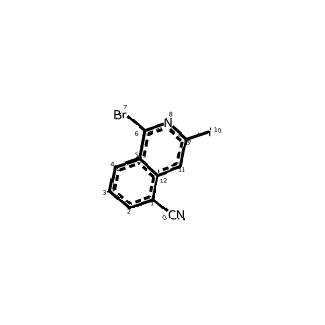 N#Cc1cccc2c(Br)nc(I)cc12